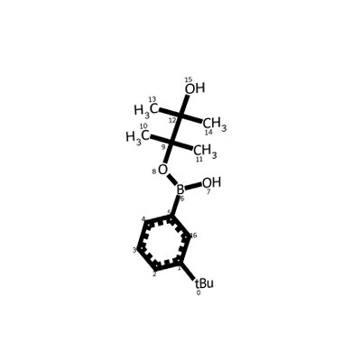 CC(C)(C)c1cccc(B(O)OC(C)(C)C(C)(C)O)c1